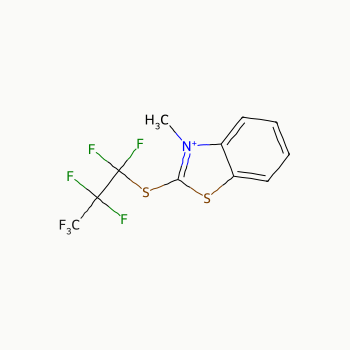 C[n+]1c(SC(F)(F)C(F)(F)C(F)(F)F)sc2ccccc21